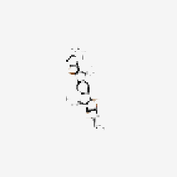 CCCCCCCCC1=Cc2sc3c(c2[SiH2]1)C(CC)(CC)c1cc2c(cc1-3)C(CC)(CC)c1c-2sc2cc(CCCCCCCC)sc12